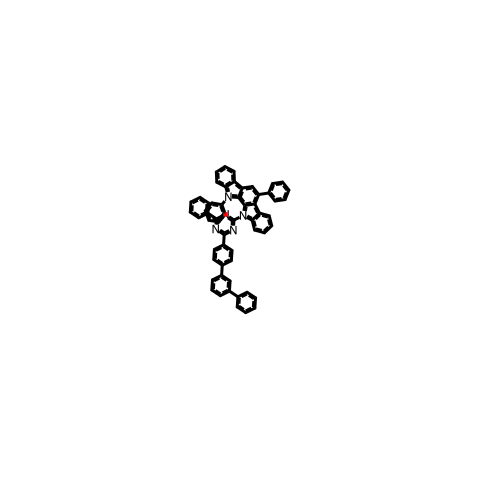 c1ccc(-c2cccc(-c3ccc(-c4nc(-c5ccccc5)nc(-n5c6ccccc6c6c(-c7ccccc7)cc7c8ccccc8n(-c8ccccc8)c7c65)n4)cc3)c2)cc1